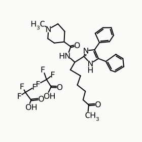 CC(=O)CCCCCC(NC(=O)C1CCN(C)CC1)c1nc(-c2ccccc2)c(-c2ccccc2)[nH]1.O=C(O)C(F)(F)F.O=C(O)C(F)(F)F